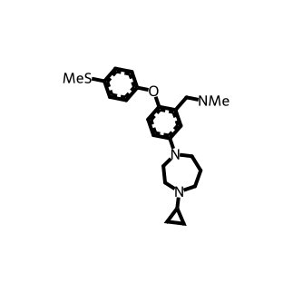 CNCc1cc(N2CCCN(C3CC3)CC2)ccc1Oc1ccc(SC)cc1